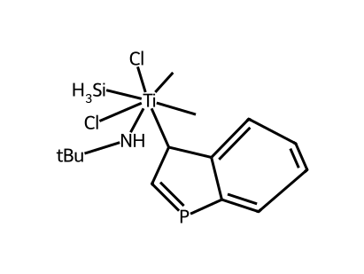 CC(C)(C)[NH][Ti]([CH3])([CH3])([SiH3])([Cl])([Cl])[CH]1C=Pc2ccccc21